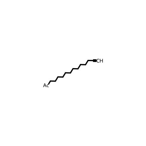 C#CCCCCCCCCCCCC(C)=O